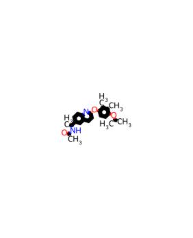 CC(=O)NC(C)c1ccc2nc(Oc3ccc(OC(C)C)c(C)c3C)ccc2c1